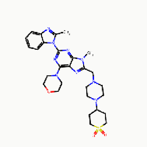 Cc1nc2ccccc2n1-c1nc(N2CCOCC2)c2nc(CN3CCN(C4CCS(=O)(=O)CC4)CC3)n(C)c2n1